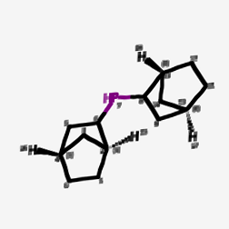 C1C[C@H]2C[C@H]1CC2PC1C[C@@H]2CC[C@@H]1C2